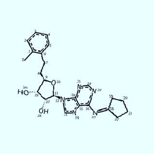 Cc1ccccc1CC[C@H]1O[C@@H](n2cnc3c(N=C4CCCC4)ncnc32)[C@H](O)[C@@H]1O